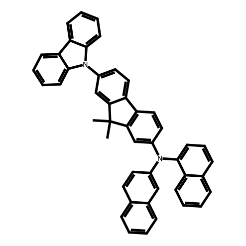 CC1(C)c2cc(N(c3ccc4ccccc4c3)c3cccc4ccccc34)ccc2-c2ccc(-n3c4ccccc4c4ccccc43)cc21